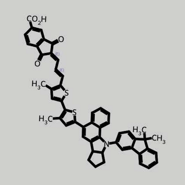 Cc1cc(-c2sc(-c3cc4c(c5ccccc35)N(c3ccc5c(c3)-c3ccccc3C5(C)C)C3CCCC43)cc2C)sc1/C=C/C=C1\C(=O)c2ccc(C(=O)O)cc2C1=O